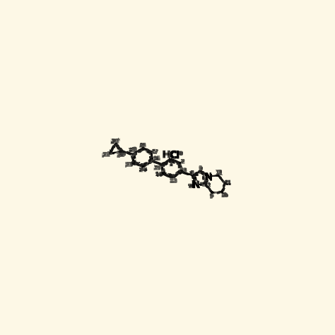 Cl.c1cc(-c2cn3c(n2)CCCC3)ccc1-c1ccc(C2CC2)cc1